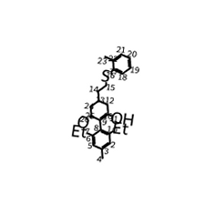 CCc1cc(C)cc(CC)c1C1=C(O)CC(CCSc2ccccc2C)CC1=O